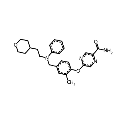 Cc1cc(CN(CCC2CCOCC2)c2ccccc2)ccc1Oc1cnc(C(N)=O)cn1